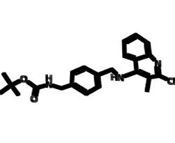 Cc1c(Cl)nc2ccccc2c1NCc1ccc(CNC(=O)OC(C)(C)C)cc1